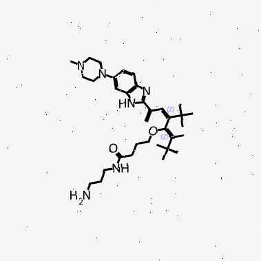 C=C(/C=C(\C(OCCCC(=O)NCCCN)=C(/C)C(C)(C)C)C(C)(C)C)c1nc2ccc(N3CCN(C)CC3)cc2[nH]1